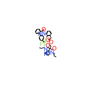 CCCNC(=O)C(CCOC(=O)Cc1cccc(NC(=O)c2ccccc2-c2ccc(C(F)(F)F)cc2)c1C)(C(=O)NCCC)c1ccccc1